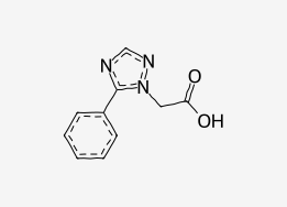 O=C(O)Cn1ncnc1-c1ccccc1